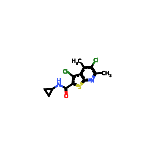 Cc1nc2sc(C(=O)NC3CC3)c(Cl)c2c(C)c1Cl